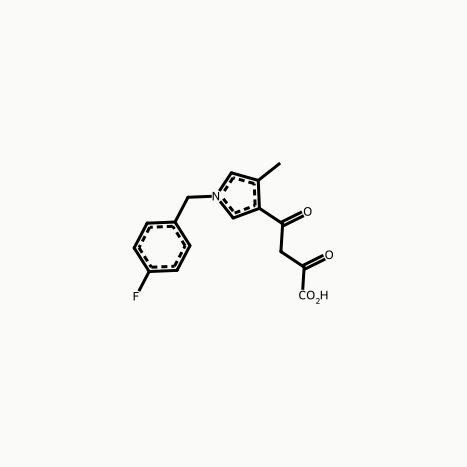 Cc1cn(Cc2ccc(F)cc2)cc1C(=O)CC(=O)C(=O)O